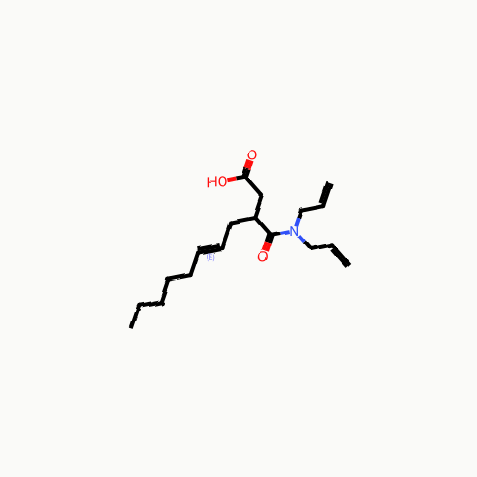 C=CCN(CC=C)C(=O)C(C/C=C/CCCCC)CC(=O)O